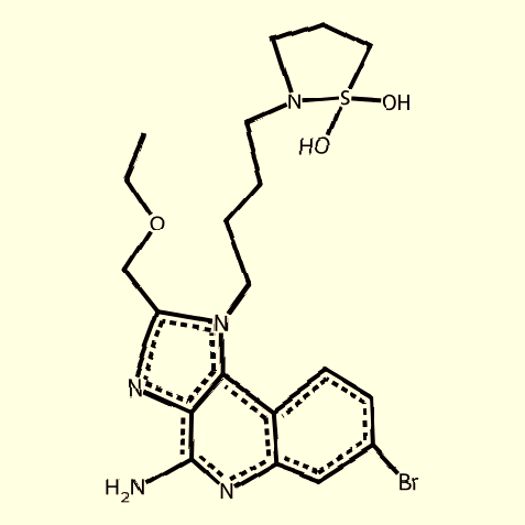 CCOCc1nc2c(N)nc3cc(Br)ccc3c2n1CCCCN1CCCS1(O)O